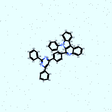 c1ccc(-c2cc(-c3ccc(-c4nc5ccccc5c5c6ccccc6n(-c6ccccc6)c45)cc3)nc(-c3ccccc3)n2)cc1